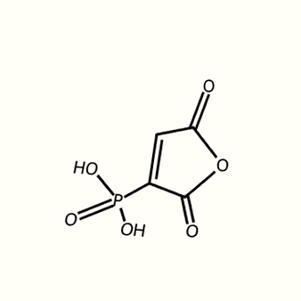 O=C1C=C(P(=O)(O)O)C(=O)O1